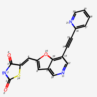 O=C1NC(=O)/C(=C/c2cc3cncc(C#Cc4ccccn4)c3o2)S1